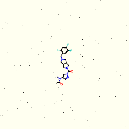 CC(=O)N(C)c1cnn(C(=O)N2CC3CN(Cc4cc(F)c(F)cc4F)CC3C2)c1